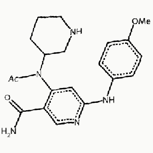 COc1ccc(Nc2cc(N(C(C)=O)C3CCCNC3)c(C(N)=O)cn2)cc1